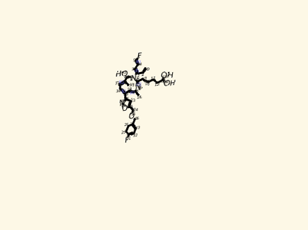 C=C/C(=C\C=C\F)N1\C(CCCCC(O)O)=N/C(C)=C/C(c2cc(COCc3ccc(F)cc3)on2)=C\C=C(/C)C1O